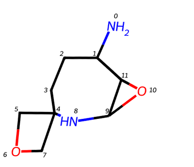 NC1CCC2(COC2)NC2OC12